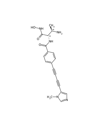 C[C@@H](N)[C@H](NC(=O)c1ccc(C#CC#Cc2cncn2C)cc1)C(=O)NO